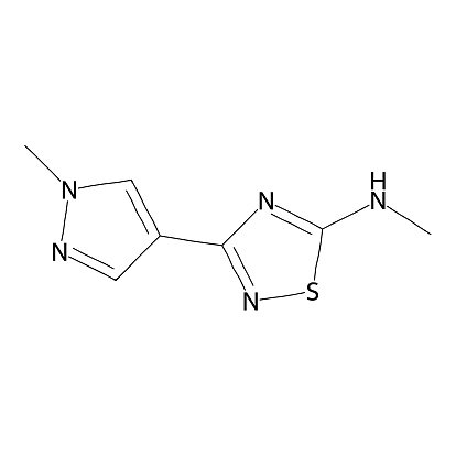 CNc1nc(-c2cnn(C)c2)ns1